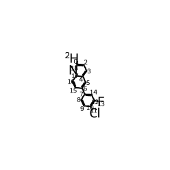 [2H]c1ccc2cc(-c3ccc(Cl)c(F)c3)ccc2n1